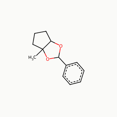 CC12CCCC1OC(c1ccccc1)O2